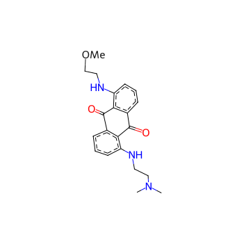 COCCNc1cccc2c1C(=O)c1cccc(NCCN(C)C)c1C2=O